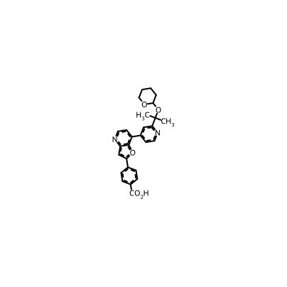 CC(C)(OC1CCCCO1)c1cc(-c2ccnc3cc(-c4ccc(C(=O)O)cc4)oc23)ccn1